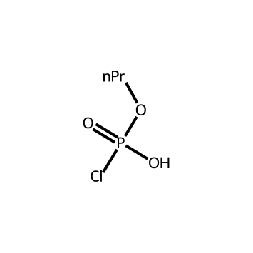 CCCOP(=O)(O)Cl